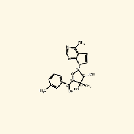 Cc1cccc([C@H](O)[C@H]2O[C@@H](n3ccc4c(N)ncnc43)[C@H](O)[C@]2(C)O)c1